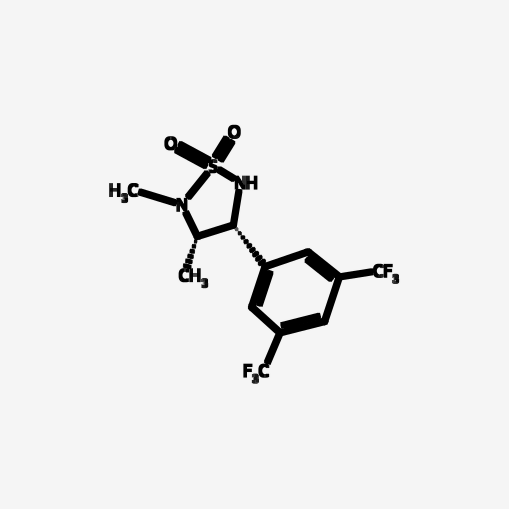 C[C@H]1[C@@H](c2cc(C(F)(F)F)cc(C(F)(F)F)c2)NS(=O)(=O)N1C